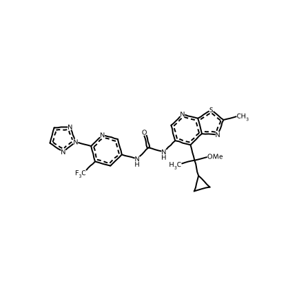 COC(C)(c1c(NC(=O)Nc2cnc(-n3nccn3)c(C(F)(F)F)c2)cnc2sc(C)nc12)C1CC1